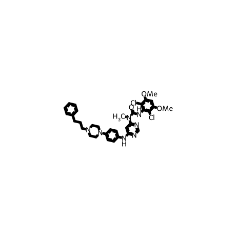 COc1cc(OC)c(Cl)c(NC(=O)N(C)c2cc(Nc3ccc(N4CCN(CCCc5ccccc5)CC4)cc3)ncn2)c1Cl